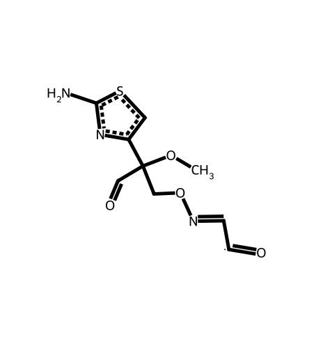 COC(C=O)(CON=C[C]=O)c1csc(N)n1